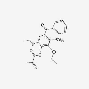 C=C(C)C(=O)Oc1c(OCC)cc(C(=O)c2ccccc2)c(O)c1OCC